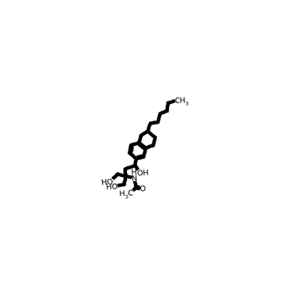 CCCCCCC1CCc2cc(C(O)CC(CO)(CO)NC(C)=O)ccc2C1